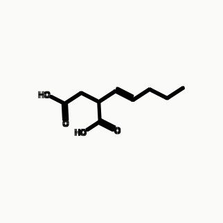 CCCC=CC(CC(=O)O)C(=O)O